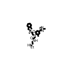 CCNCCNC(=O)CN(CC(=O)N(C)N1Cc2ccccc2C1)c1ccc(-c2nc(C)no2)cc1C